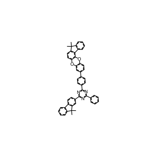 CC1(C)c2ccccc2-c2ccc(-c3nc(-c4ccccc4)nc(-c4ccc(-c5ccc6c(c5)Oc5ccc7c(c5O6)-c5ccccc5C7(C)C)cc4)n3)cc21